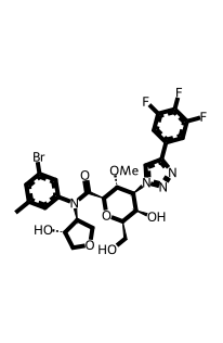 CO[C@@H]1[C@@H](n2cc(-c3cc(F)c(F)c(F)c3)nn2)[C@@H](O)[C@@H](CO)O[C@H]1C(=O)N(c1cc(C)cc(Br)c1)[C@H]1COC[C@@H]1O